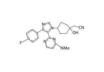 CNc1ccnc(-c2c(-c3ccc(F)cc3)ncn2C2CCC(O)(CC#N)CC2)n1